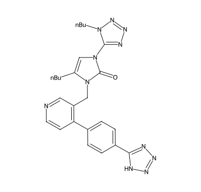 CCCCc1cn(-c2nnnn2CCCC)c(=O)n1Cc1cnccc1-c1ccc(-c2nnn[nH]2)cc1